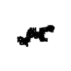 CC1CCCCN1c1nnc2ccc(O[C@@H]3CC[C@H](NC(=O)Nc4cc(C(C)(C)C)nn4-c4cccc(CCN5CCOCC5)c4)c4ccccc43)cn12